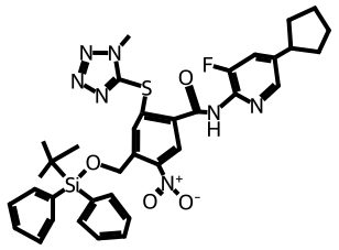 Cn1nnnc1Sc1cc(CO[Si](c2ccccc2)(c2ccccc2)C(C)(C)C)c([N+](=O)[O-])cc1C(=O)Nc1ncc(C2CCCC2)cc1F